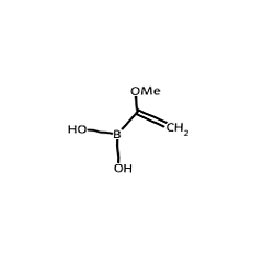 C=C(OC)B(O)O